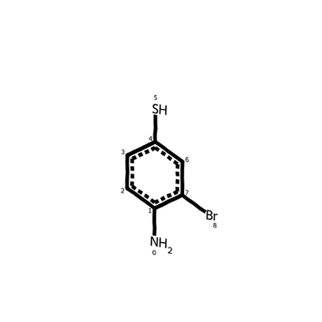 Nc1ccc(S)cc1Br